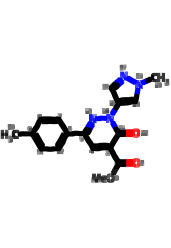 COC(=O)c1cc(-c2ccc(C)cc2)nn(-c2cnn(C)c2)c1=O